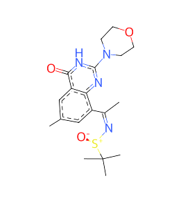 C/C(=N/[S@+]([O-])C(C)(C)C)c1cc(C)cc2c(=O)[nH]c(N3CCOCC3)nc12